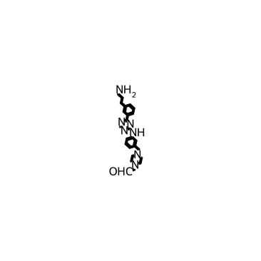 NCCCc1cccc(-c2ncnc(Nc3cccc(CN4CCN(CC=O)CC4)c3)n2)c1